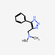 CCCCN(C)Cc1nn[nH]c1-c1ccccc1